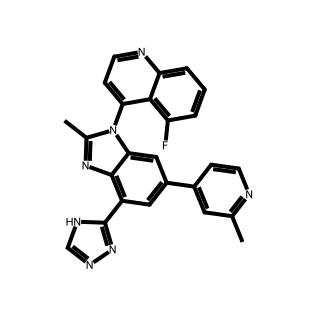 Cc1cc(-c2cc(-c3nnc[nH]3)c3nc(C)n(-c4ccnc5cccc(F)c45)c3c2)ccn1